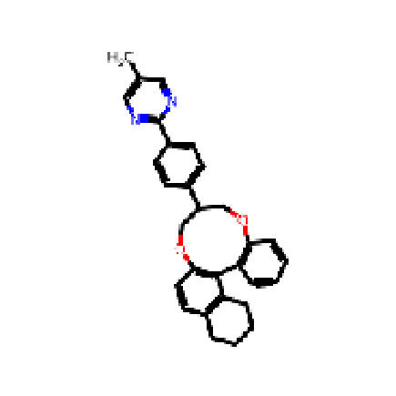 Cc1cnc(-c2ccc(C3COc4ccc5c(c4-c4c(ccc6c4CCCC6)OC3)CCCC5)cc2)nc1